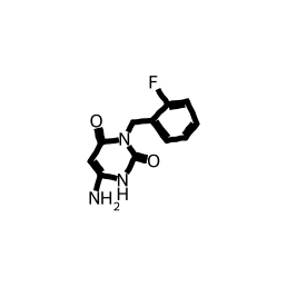 Nc1cc(=O)n(Cc2ccccc2F)c(=O)[nH]1